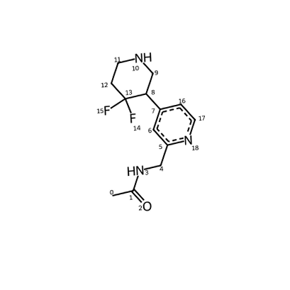 CC(=O)NCc1cc(C2CNCCC2(F)F)ccn1